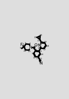 CC1(F)CCN(C(=O)c2ccc(C#N)cc2-c2cccc(C3CC3)n2)CC1